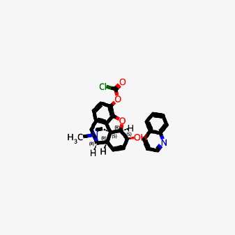 CN1CC[C@]23c4c5ccc(OC(=O)Cl)c4O[C@H]2[C@@H](O)C=C[C@H]3[C@H]1C5.c1ccc2ncccc2c1